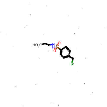 O=C(O)CCNS(=O)(=O)c1ccc(CBr)cc1